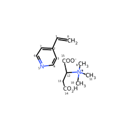 C=Cc1ccncc1.C[N+](C)(C)C(CC(=O)O)C(=O)[O-]